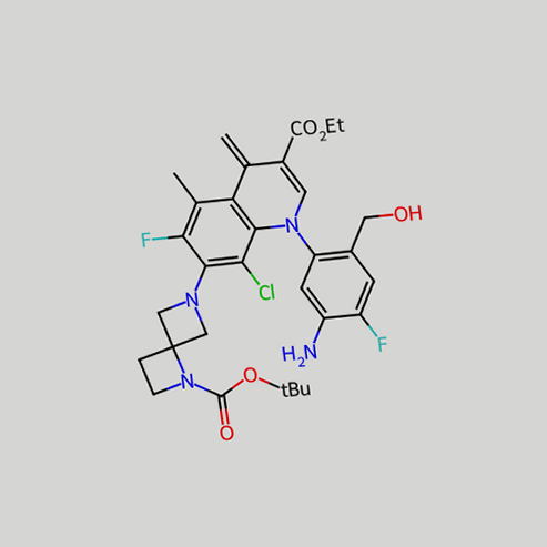 C=C1C(C(=O)OCC)=CN(c2cc(N)c(F)cc2CO)c2c(Cl)c(N3CC4(CCN4C(=O)OC(C)(C)C)C3)c(F)c(C)c21